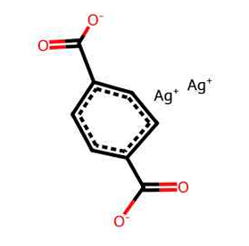 O=C([O-])c1ccc(C(=O)[O-])cc1.[Ag+].[Ag+]